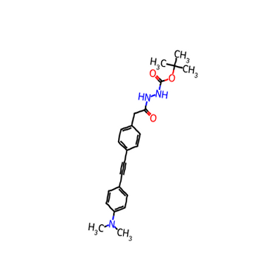 CN(C)c1ccc(C#Cc2ccc(CC(=O)NNC(=O)OC(C)(C)C)cc2)cc1